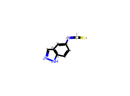 S=C=Nc1ccc2[nH]ncc2c1